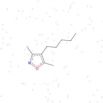 CCCCCc1c(C)noc1C